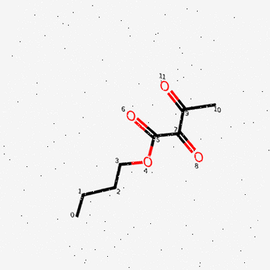 CCCCOC(=O)C(=O)C(C)=O